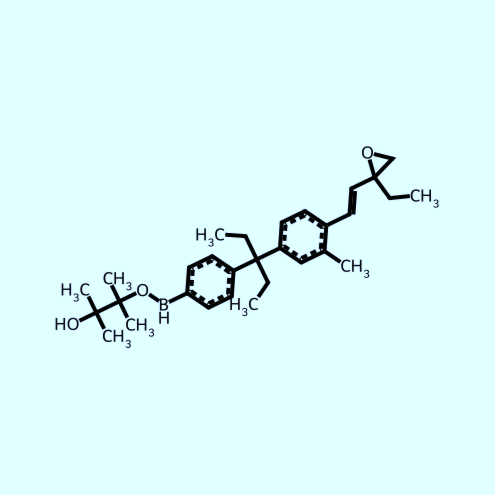 CCC1(/C=C/c2ccc(C(CC)(CC)c3ccc(BOC(C)(C)C(C)(C)O)cc3)cc2C)CO1